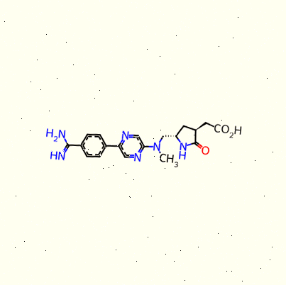 CN(C[C@@H]1C[C@@H](CC(=O)O)C(=O)N1)c1cnc(-c2ccc(C(=N)N)cc2)cn1